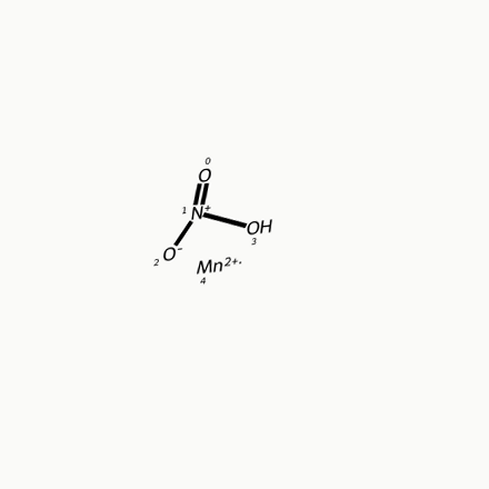 O=[N+]([O-])O.[Mn+2]